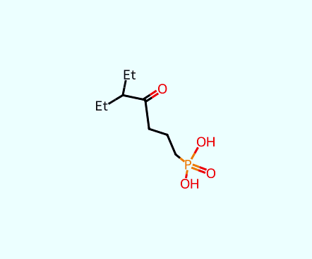 CCC(CC)C(=O)CCCP(=O)(O)O